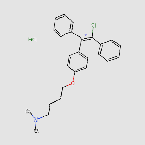 CCN(CC)CCCCOc1ccc(/C(=C(/Cl)c2ccccc2)c2ccccc2)cc1.Cl